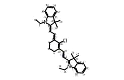 CCN1/C(=C/C=C2\CCCC(/C=C/C3=[N+](CC)c4ccccc4C3(C)C)=C2Cl)C(C)(C)c2ccccc21